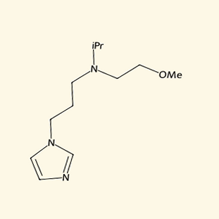 COCCN(CCCn1ccnc1)C(C)C